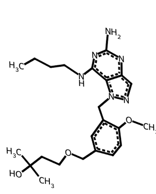 CCCCNc1nc(N)nc2cnn(Cc3cc(COCCC(C)(C)O)ccc3OC)c12